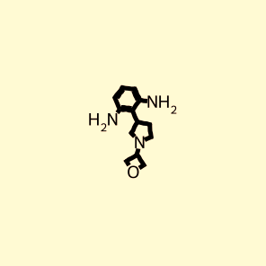 Nc1cccc(N)c1C1CCN(C2COC2)C1